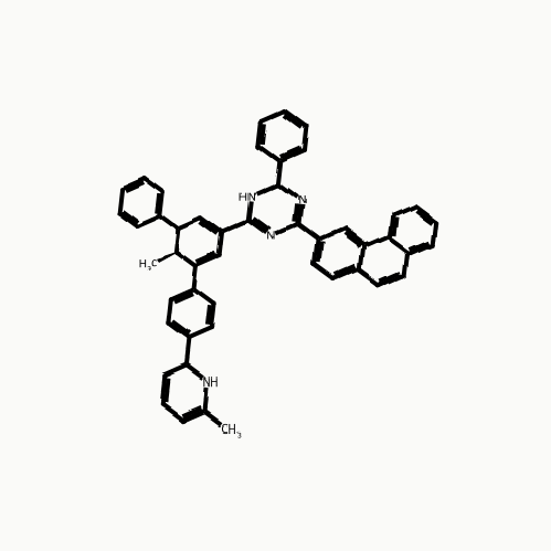 CC1=CC=CC(c2ccc(C3=CC(C4=NC(c5ccc6ccc7ccccc7c6c5)=NC(c5ccccc5)N4)=CC(c4ccccc4)[C@@H]3C)cc2)N1